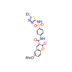 CCc1nnc(NS(=O)(=O)c2ccc(NC(=O)c3cc4cc(OC)ccc4oc3=O)cc2)s1